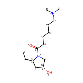 CC[C@@H]1C[C@@H](O)CN1C(=O)CCCCCN(C)C